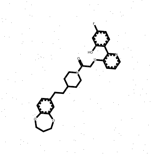 O=C(COc1cccnc1-c1ccc(F)cc1O)N1CCC(CCc2ccc3c(c2)OCCCO3)CC1